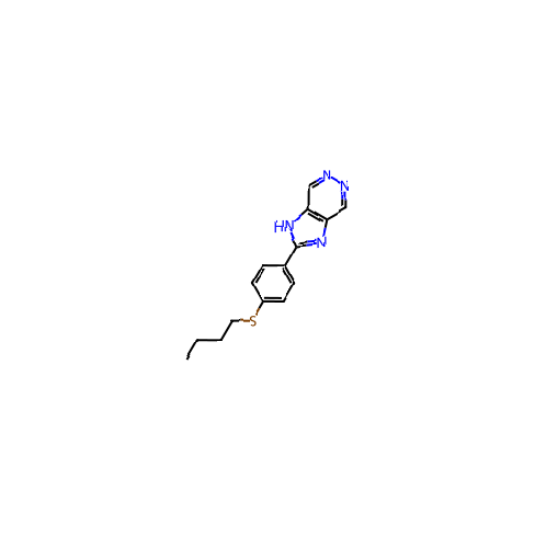 CCCCSc1ccc(-c2nc3cnncc3[nH]2)cc1